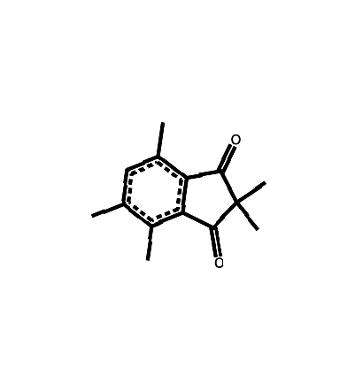 Cc1cc(C)c2c(c1C)C(=O)C(C)(C)C2=O